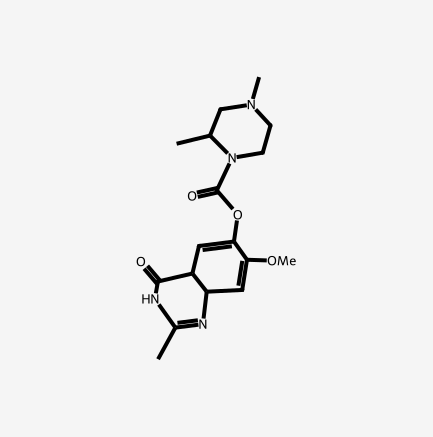 COC1=CC2N=C(C)NC(=O)C2C=C1OC(=O)N1CCN(C)CC1C